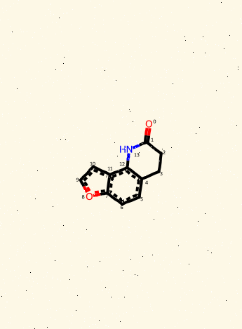 O=C1CCc2ccc3occc3c2N1